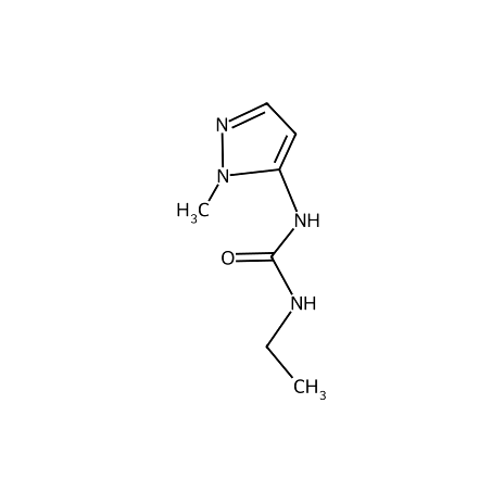 CCNC(=O)Nc1ccnn1C